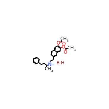 Br.CC(=O)Oc1cc2ccc(CCNC(C)CCc3ccccc3)cc2cc1OC(C)=O